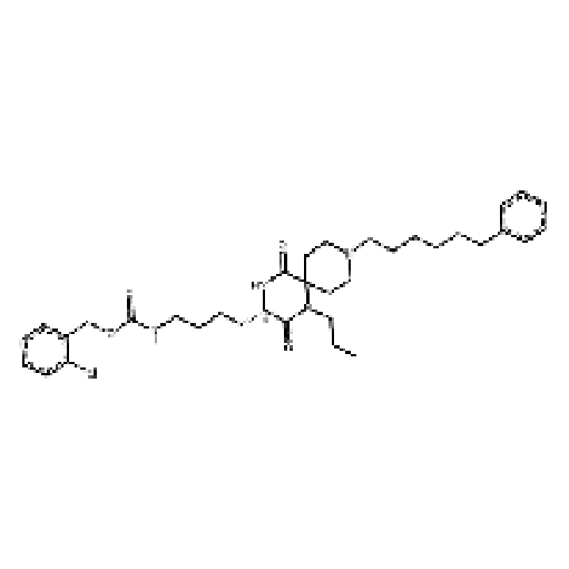 CCCN1C(=O)[C@H](CCCCNC(=O)OCc2ccccc2Cl)NC(=O)C12CCN(CCCCCCc1ccccc1)CC2